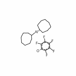 C1CCC[CH]([Al+][CH]2CCCCCCC2)CCC1.[O-]c1c(F)c(F)c(F)c(F)c1F